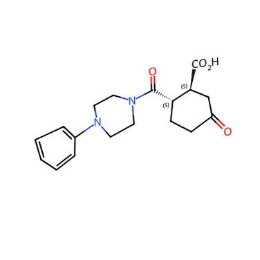 O=C1CC[C@H](C(=O)N2CCN(c3ccccc3)CC2)[C@@H](C(=O)O)C1